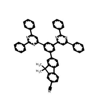 CC1(C)c2cc(C#N)ccc2-c2ccc(-c3cc(-c4cc(-c5ccccc5)nc(-c5ccccc5)n4)cc(-c4cc(-c5ccccc5)nc(-c5ccccc5)n4)c3)cc21